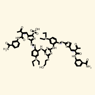 CCN(CC)c1ccc(/N=N/c2ncc(/C=C(\C(C)=O)C(=O)Nc3cccc(C(N)=O)c3)s2)c(Nc2nc(Nc3cc(N(CC)CC)ccc3/N=N/c3nc(S(=O)(=O)O)c(/C=C(/C(C)=O)C(=O)Nc4cccc(C(N)=O)c4)s3)nc(SCCO)n2)c1